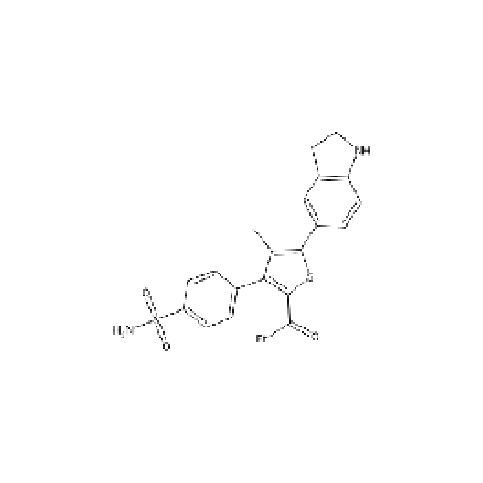 CCC(=O)c1sc(-c2ccc3c(c2)CCN3)c(C)c1-c1ccc(S(N)(=O)=O)cc1